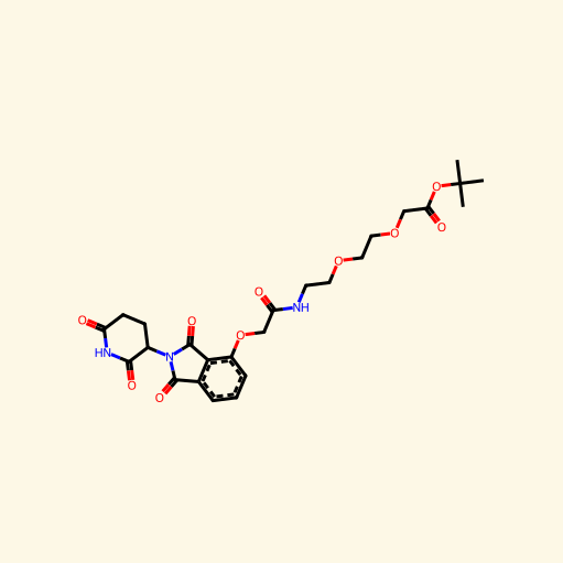 CC(C)(C)OC(=O)COCCOCCNC(=O)COc1cccc2c1C(=O)N(C1CCC(=O)NC1=O)C2=O